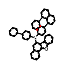 c1ccc(-c2ccc(N(c3ccc(-c4cccc5cccc(-c6ccccc6)c45)cc3)c3cc4ccccc4c4oc5ccccc5c34)cc2)cc1